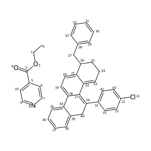 CCOC(=O)c1ccncc1.Clc1ccc(C2=c3c(ccc4c3=CCCC4Cc3ccccc3)-c3ccccc3C2)cc1